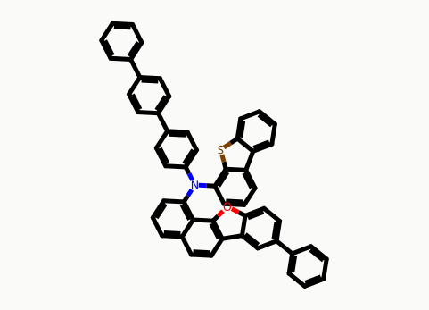 c1ccc(-c2ccc(-c3ccc(N(c4cccc5c4sc4ccccc45)c4cccc5ccc6c7cc(-c8ccccc8)ccc7oc6c45)cc3)cc2)cc1